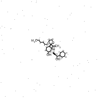 CCCCCC[C@@]12CC[C@H](O)[C@@H](C#C[C@@H](O)C3CCCCC3)[C@@H]1C(C)C21OCCO1